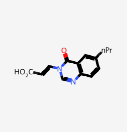 CCCc1ccc2ncn(/C=C/C(=O)O)c(=O)c2c1